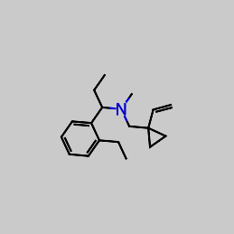 C=CC1(CN(C)C(CC)c2ccccc2CC)CC1